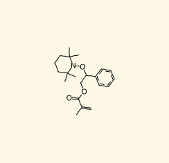 C=C(C)C(=O)OCC(ON1C(C)(C)CCCC1(C)C)c1ccccc1